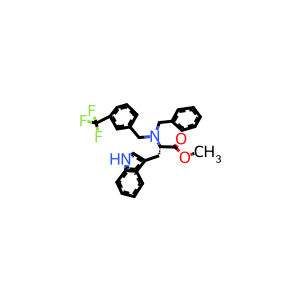 COC(=O)[C@H](Cc1c[nH]c2ccccc12)N(Cc1ccccc1)Cc1cccc(C(F)(F)F)c1